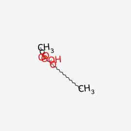 CCCCCCCCCCCCCCCCCCOCC(O)CCOS(=O)(=O)c1ccc(C)cc1